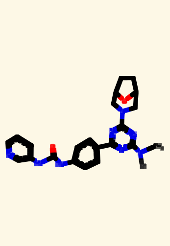 CCN(C)c1nc(-c2ccc(NC(=O)Nc3cccnc3)cc2)nc(N2CC3CCC(C2)O3)n1